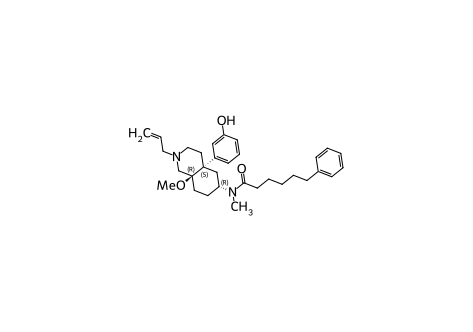 C=CCN1CC[C@@]2(c3cccc(O)c3)C[C@H](N(C)C(=O)CCCCCc3ccccc3)CC[C@]2(OC)C1